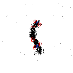 CCC(C)(CC)c1ccc(N2C(=O)c3ccc(Oc4ccc(C(C)(C)c5ccc(Oc6ccc7c(c6)C(=O)N(C)C7=O)cc5)cc4)cc3C2=O)cc1